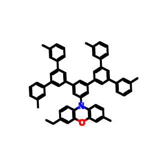 CCc1ccc2c(c1)Oc1cc(C)ccc1N2c1cc(-c2cc(-c3cccc(C)c3)cc(-c3cccc(C)c3)c2)cc(-c2cc(-c3cccc(C)c3)cc(-c3cccc(C)c3)c2)c1